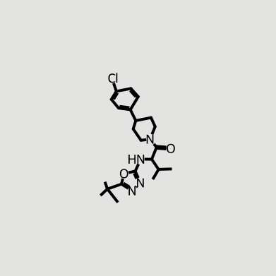 CC(C)C(Nc1nnc(C(C)(C)C)o1)C(=O)N1CCC(c2ccc(Cl)cc2)CC1